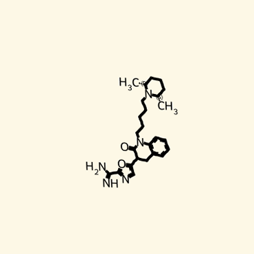 C[C@@H]1CCC[C@H](C)N1CCCCCN1C(=O)C(c2cnc(C(=N)N)o2)Cc2ccccc21